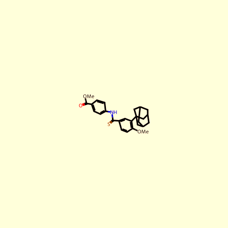 COC(=O)c1ccc(NC(=S)c2ccc(OC)c(C34CC5CC(CC(C5)C3)C4)c2)cc1